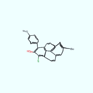 COc1ccc(-c2c(O)c(Br)c3ccc4cc(C(C)(C)C)cc5ccc2c3c45)cc1